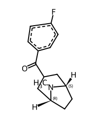 CN1[C@@H]2CC[C@H]1CC(C(=O)c1ccc(F)cc1)C2